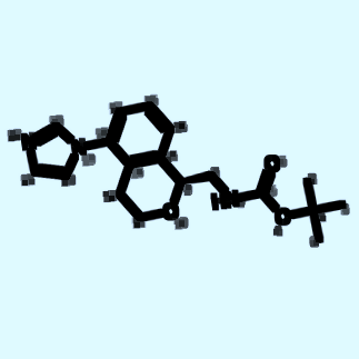 CC(C)(C)OC(=O)NC[C@H]1OCCc2c1cccc2-n1ccnc1